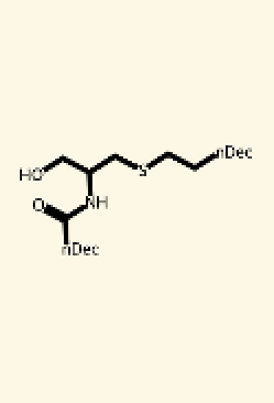 CCCCCCCCCCCCSCC(CO)NC(=O)CCCCCCCCCC